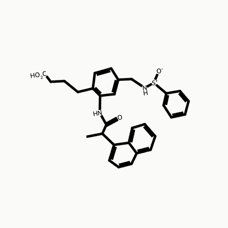 CC(C(=O)Nc1cc(CN[S+]([O-])c2ccccc2)ccc1CCCC(=O)O)c1cccc2ccccc12